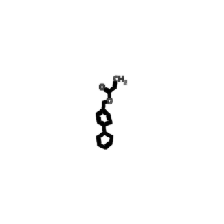 C=CC(=O)OCc1ccc(C2C=CC=CC2)cc1